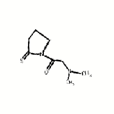 CN(C)CC(=O)N1CCCC1=S